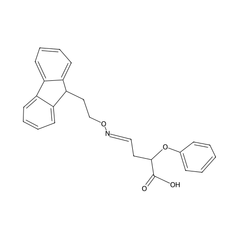 O=C(O)C(CC=NOCCC1c2ccccc2-c2ccccc21)Oc1ccccc1